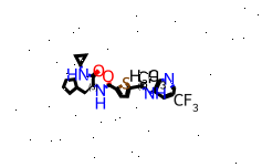 Cc1ncc(C(F)(F)F)cc1N[C@H](C)c1ccc(C(=O)N[C@@H](CC2CCCC2)C(=O)NC2CC2)s1